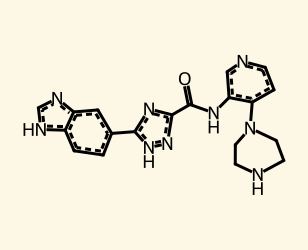 O=C(Nc1cnccc1N1CCNCC1)c1n[nH]c(-c2ccc3[nH]cnc3c2)n1